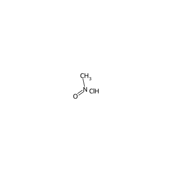 CN=O.Cl